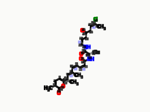 CC1=CC[C@@H]([C@@H](C)/C=C(C)/C=C\C=C/C(=O)N[C@H](C(=O)N/C=C\CC(=O)C/C=C(\C)Cl)C(C)(C)C)OC1=O